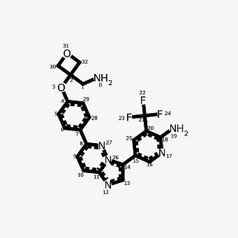 NCC1(Oc2ccc(-c3ccc4ncc(-c5cnc(N)c(C(F)(F)F)c5)n4n3)cc2)COC1